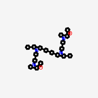 c1ccc(-c2ccc3c4ccc(-c5ccc(-c6ccc(-c7ccc8c9ccc(-c%10ccccc%10)cc9n(-c9ccc(-c%10ccc(-n%11c%12ccccc%12c%12ccc%13oc%14ccccc%14c%13c%12%11)cc%10)cc9)c8c7)cc6)cc5)cc4n(-c4ccc(-c5ccc(-n6c7ccccc7c7c8c(ccc76)oc6ccccc68)cc5)cc4)c3c2)cc1